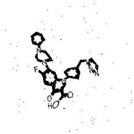 O=C(O)c1cn(-c2ccc(Cn3ccnn3)cc2)c2cc(N3CCN(c4ccccc4)CC3)c(F)cc2c1=O